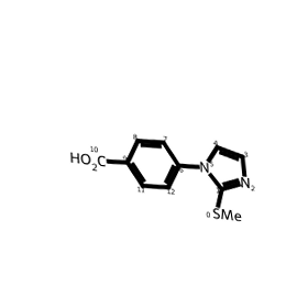 CSc1nccn1-c1ccc(C(=O)O)cc1